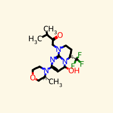 CC(C)C(=O)CN1CC[C@H](C(F)(F)F)N2C1=NC(N1CCOC[C@H]1C)=CC2O